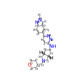 Cc1c(-c2ccc(NC3C[C@@H]4CN(CC5CCOCC5)C[C@@H]4C3)nn2)ccc2nn(C)cc12